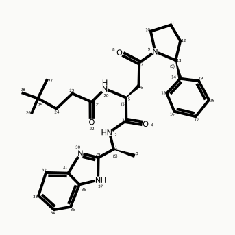 C[C@H](NC(=O)[C@H](CC(=O)N1CCC[C@H]1c1ccccc1)NC(=O)CCC(C)(C)C)c1nc2ccccc2[nH]1